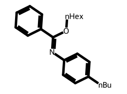 CCCCCCOC(=Nc1ccc(CCCC)cc1)c1ccccc1